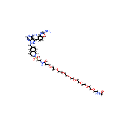 CC(=O)NCCOCCOCCOCCOCCOCCOCCOCCOCCC(=O)NCCS(=O)(=O)N1CCc2cc(Cn3nc(-c4ccc5oc(N)nc5c4)c4c(N)ncnc43)ccc2C1